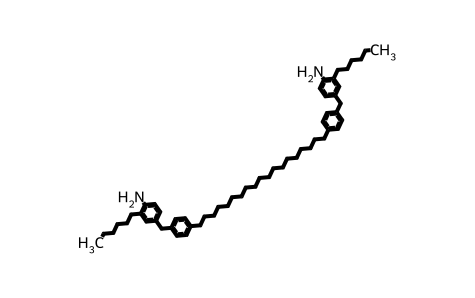 CCCCCCc1cc(Cc2ccc(CCCCCCCCCCCCCCCCCCCc3ccc(Cc4ccc(N)c(CCCCCC)c4)cc3)cc2)ccc1N